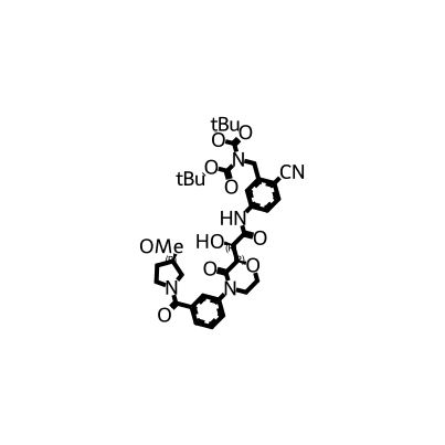 CO[C@@H]1CCN(C(=O)c2cccc(N3CCO[C@H]([C@@H](O)C(=O)Nc4ccc(C#N)c(CN(C(=O)OC(C)(C)C)C(=O)OC(C)(C)C)c4)C3=O)c2)C1